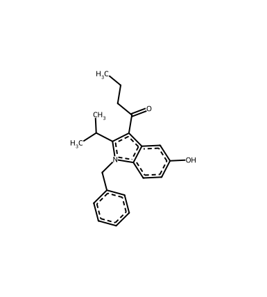 CCCC(=O)c1c(C(C)C)n(Cc2ccccc2)c2ccc(O)cc12